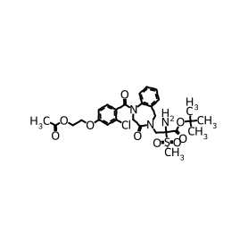 CC(=O)OCCOc1ccc(C(=O)N2CC(=O)N(CC(N)(C(=O)OC(C)(C)C)S(C)(=O)=O)Cc3ccccc32)c(Cl)c1